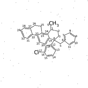 CC1CCC(Cc2ccccc2)(c2cccc(Cl)c2)c2ccc3c(c21)CCc1ccccc1-3